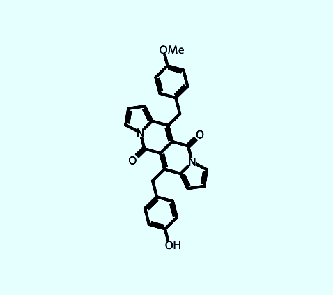 COc1ccc(Cc2c3c(=O)n4cccc4c(Cc4ccc(O)cc4)c3c(=O)n3cccc23)cc1